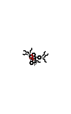 CCCCN(P(c1ccc([Si](CCCC)(CCCC)CCCC)cc1)c1ccccc1C(F)(F)F)P(c1ccc([Si](CCCC)(CCCC)CCCC)cc1)c1ccccc1C(F)(F)F